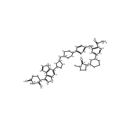 CN1CCN([C@@H]2CCCN(c3cnc(C(N)=O)c(Nc4ccc(C5CCN(C[C@H]6CCC(c7cc8onc(C9CCC(=O)NC9=O)c8c8cc[nH]c78)C6)CC5)cc4)n3)C2)C1=O